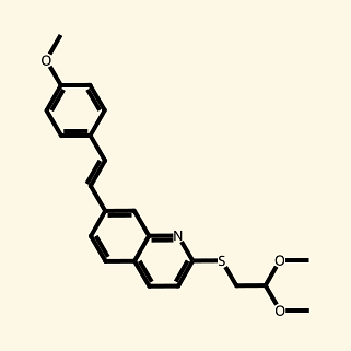 COc1ccc(C=Cc2ccc3ccc(SCC(OC)OC)nc3c2)cc1